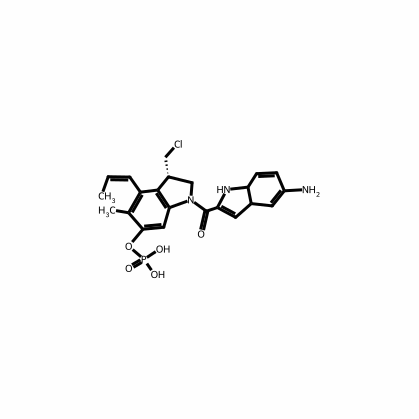 C/C=C\c1c(C)c(OP(=O)(O)O)cc2c1[C@H](CCl)CN2C(=O)C1=CC2C=C(N)C=CC2N1